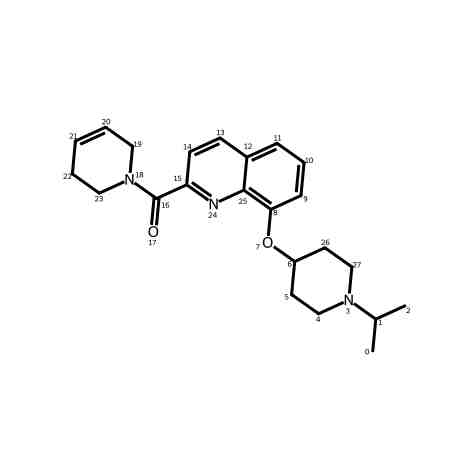 CC(C)N1CCC(Oc2cccc3ccc(C(=O)N4CC=CCC4)nc23)CC1